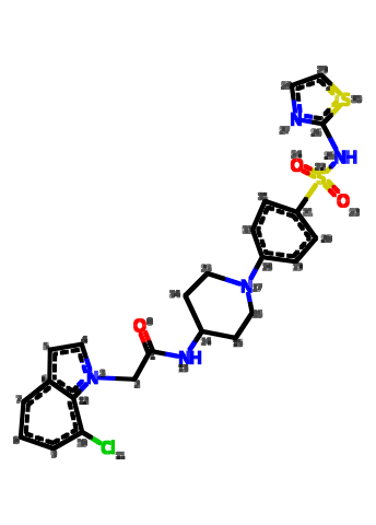 O=C(Cn1ccc2cccc(Cl)c21)NC1CCN(c2ccc(S(=O)(=O)Nc3nccs3)cc2)CC1